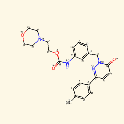 N#Cc1ccc(-c2ccc(=O)n(Cc3cccc(NC(=O)OCCN4CCOCC4)c3)n2)cc1